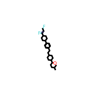 CC1CCC(C2CCC(CCc3ccc(C4CCC(/C(F)=C/CF)CC4)cc3)CC2)OC1